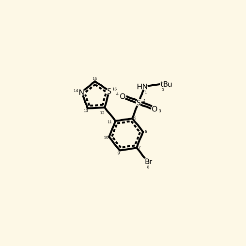 CC(C)(C)NS(=O)(=O)c1cc(Br)ccc1-c1cn[c]s1